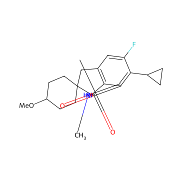 COC1CCC2(CC1)Cc1cc(F)c(C3CC3)cc1C21NC(=O)N(C)C1=O